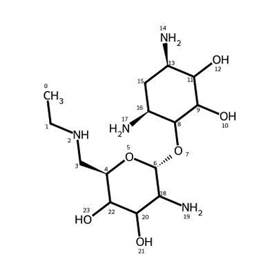 CCNC[C@H]1O[C@H](OC2C(O)C(O)[C@H](N)C[C@@H]2N)C(N)C(O)C1O